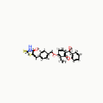 CCCc1c(OCc2ccc(C=C3SC(=S)NC3=O)cc2)ccc(C(=O)c2ccccc2)c1O